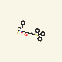 O=C(C[C@H](O)/C=C/CCCSC(c1ccccc1)(c1ccccc1)c1ccccc1)N1C(=S)SC[C@H]1Cc1ccccc1